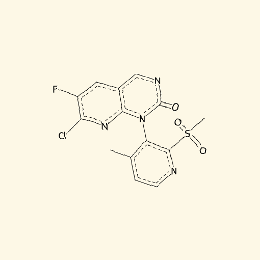 Cc1ccnc(S(C)(=O)=O)c1-n1c(=O)ncc2cc(F)c(Cl)nc21